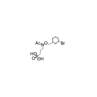 CC(=O)N(CCCP(=O)(O)O)OCc1cccc(Br)c1